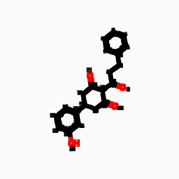 O=C(CCc1ccccc1)C1C(=O)CC(c2cccc(O)c2)CC1=O